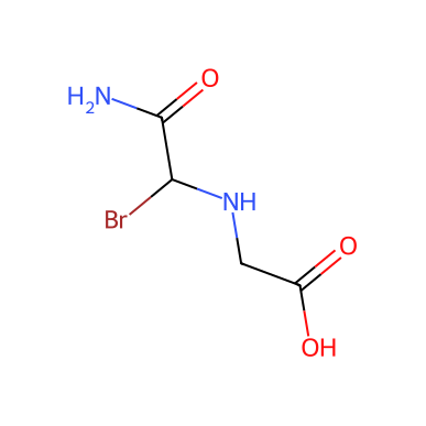 NC(=O)C(Br)NCC(=O)O